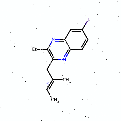 C/C=C(\C)Cc1nc2ccc(I)cc2nc1CC